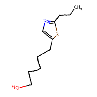 CCCc1ncc(CCCCCO)s1